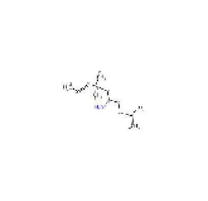 C=C(C)CCC(N)CC(C)(C)C=CC